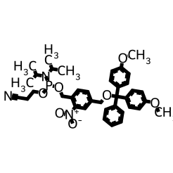 COc1ccc(C(OCc2ccc(COP(OCCC#N)N(C(C)C)C(C)C)c([N+](=O)[O-])c2)(c2ccccc2)c2ccc(OC)cc2)cc1